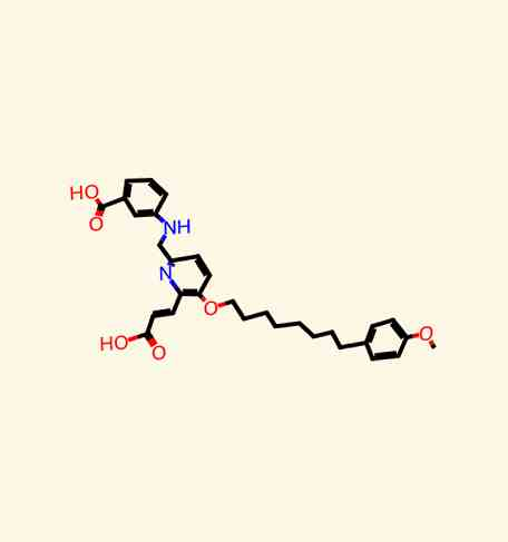 COc1ccc(CCCCCCCCOc2ccc(CNc3cccc(C(=O)O)c3)nc2C=CC(=O)O)cc1